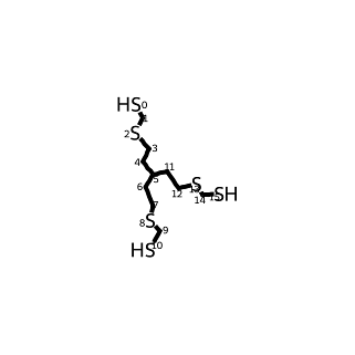 SCSCCC(CCSCS)CCSCS